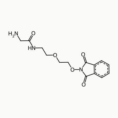 NCC(=O)NCCOCCON1C(=O)c2ccccc2C1=O